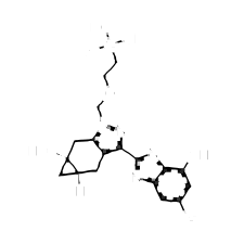 Cc1cc(Br)cc2nc(-c3nn(COCC[Si](C)(C)C)c4c3C[C@@H]3C[C@]3(C)C4)[nH]c12